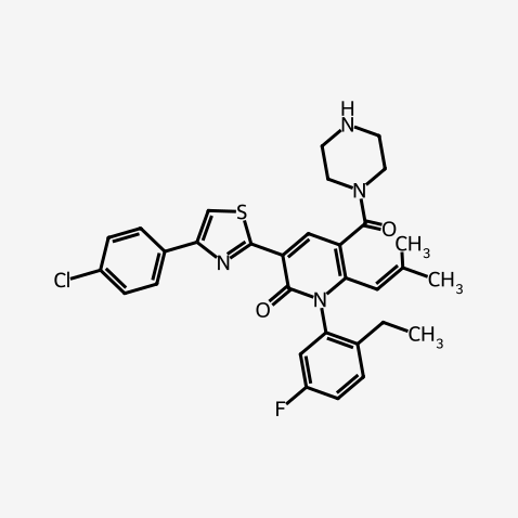 CCc1ccc(F)cc1-n1c(C=C(C)C)c(C(=O)N2CCNCC2)cc(-c2nc(-c3ccc(Cl)cc3)cs2)c1=O